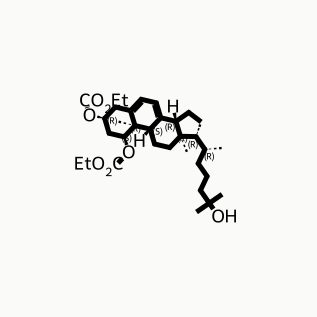 CCOC(=O)O[C@@H]1CC2=CC=C3[C@@H]4CC[C@H]([C@H](C)CCCC(C)(C)O)[C@@]4(C)CC[C@@H]3[C@@]2(C)[C@@H](OC(=O)OCC)C1